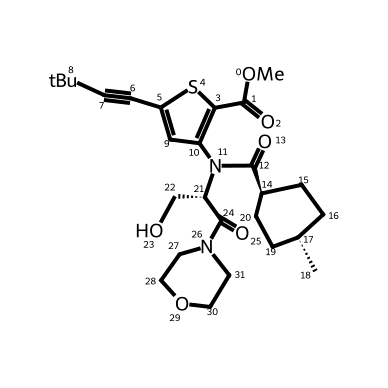 COC(=O)c1sc(C#CC(C)(C)C)cc1N(C(=O)[C@H]1CC[C@H](C)CC1)[C@@H](CO)C(=O)N1CCOCC1